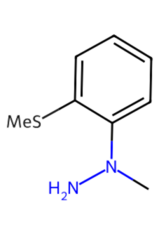 CSc1ccccc1N(C)N